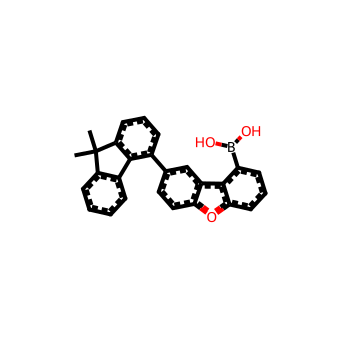 CC1(C)c2ccccc2-c2c(-c3ccc4oc5cccc(B(O)O)c5c4c3)cccc21